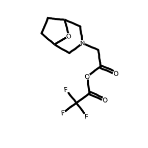 O=C(CN1CC2CCC(C1)O2)OC(=O)C(F)(F)F